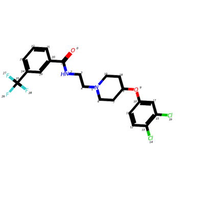 O=C(NCCN1CCC(Oc2ccc(Cl)c(Cl)c2)CC1)c1cccc(C(F)(F)F)c1